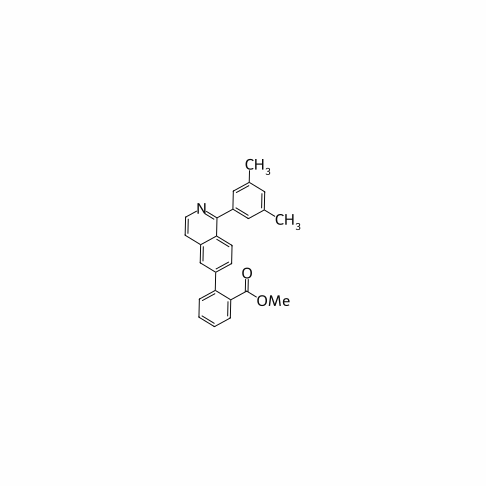 COC(=O)c1ccccc1-c1ccc2c(-c3cc(C)cc(C)c3)nccc2c1